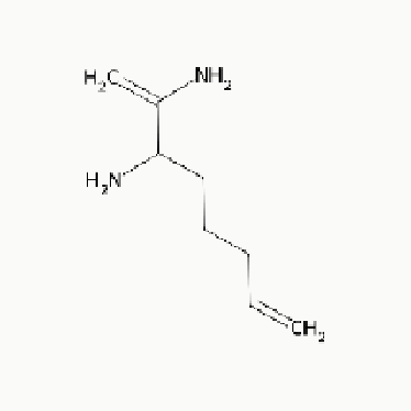 C=CCCCC(N)C(=C)N